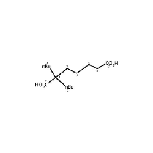 CCCCC(CCCC)(CCCCC(=O)O)C(=O)O